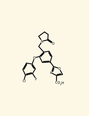 O=C(O)c1coc(-c2ccc(CN3CCCC3=O)c(Oc3ccc(Cl)c(F)c3)c2)n1